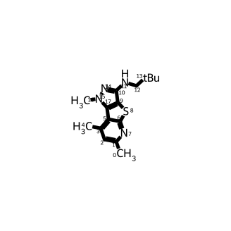 Cc1cc(C)c2c(n1)sc1c(NCC(C)(C)C)nn(C)c12